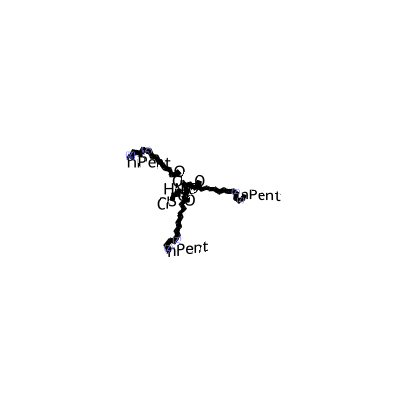 CCCCC/C=C\C/C=C\CCCCCCCC(=O)OCC(COC(=O)CCCCCCC/C=C\C/C=C\CCCCC)(COC(=O)CCCCCCC/C=C\C/C=C\CCCCC)NCCSCl